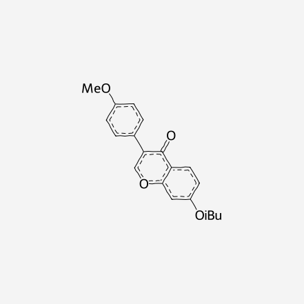 COc1ccc(-c2coc3cc(OCC(C)C)ccc3c2=O)cc1